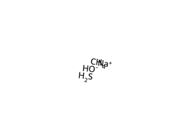 C.S.[Na+].[OH-]